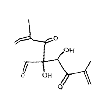 C=C(C)C(=O)C(O)C(O)([C]=O)C(=O)C(=C)C